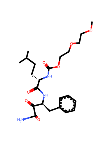 COCCOCCOC(=O)N[C@@H](CCC(C)C)C(=O)N[C@@H](Cc1ccccc1)C(=O)C(N)=O